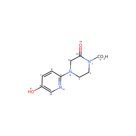 O=C(O)N1CCN(c2ccc(O)cn2)CC1=O